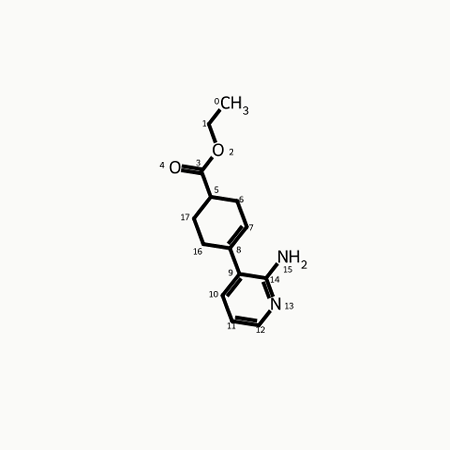 CCOC(=O)C1CC=C(c2cccnc2N)CC1